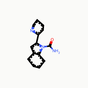 NC(=O)n1c(-c2ccccn2)cc2ccc[c]c21